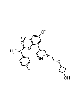 CN(C(=O)Oc1c(/C(C=N)=C/NCCOC2CC(O)C2)cc(C(F)(F)F)cc1C(F)(F)F)c1ccc(F)cc1